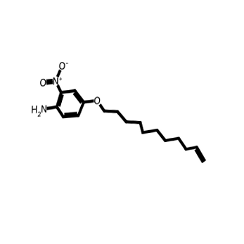 C=CCCCCCCCCCOc1ccc(N)c([N+](=O)[O-])c1